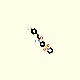 O=C(C=Cc1ccc(Br)cc1)Nc1ccc(S(=O)(=O)N2CCCCC2)cc1